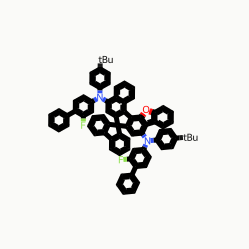 CC(C)(C)c1ccc(N(c2ccc(-c3ccccc3)c(F)c2)c2cc3c(c4ccccc24)-c2c(cc(N(c4ccc(C(C)(C)C)cc4)c4ccc(-c5ccccc5)c(F)c4)c4c2oc2ccccc24)C32c3ccccc3-c3ccccc32)cc1